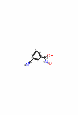 N#Cc1cccc(B(O)N=O)c1